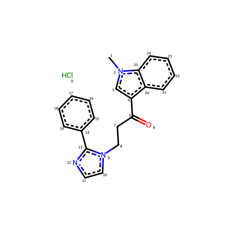 Cl.Cn1cc(C(=O)CCn2ccnc2-c2ccccc2)c2ccccc21